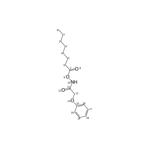 CCCCCCCC(=O)ONC(=O)COc1ccccc1